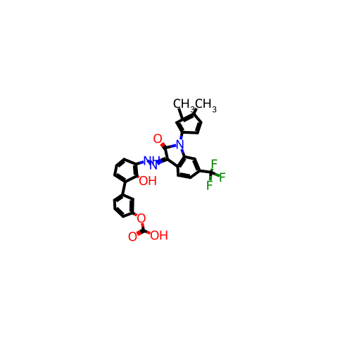 Cc1ccc(N2C(=O)C(=NNc3cccc(-c4cccc(OC(=O)O)c4)c3O)c3ccc(C(F)(F)F)cc32)cc1C